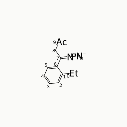 CCc1ccccc1C(CC(C)=O)=[N+]=[N-]